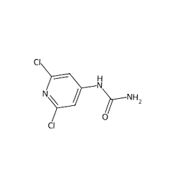 NC(=O)Nc1cc(Cl)nc(Cl)c1